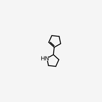 C1=C(C2CCCN2)CCC1